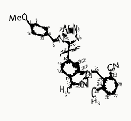 COc1ccc(Cn2nnnc2C(F)(F)c2ccc3c(C)nn(Cc4c(C)cccc4C#N)c3c2)cc1